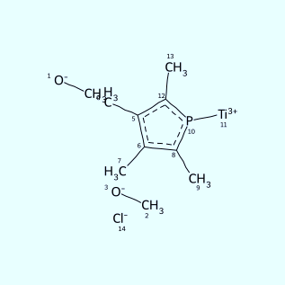 C[O-].C[O-].Cc1c(C)c(C)[p]([Ti+3])c1C.[Cl-]